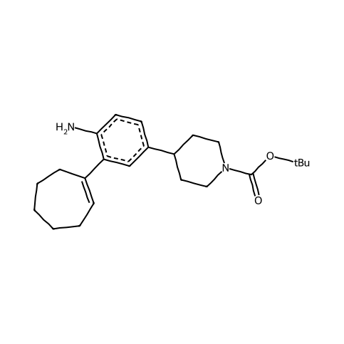 CC(C)(C)OC(=O)N1CCC(c2ccc(N)c(C3=CCCCCC3)c2)CC1